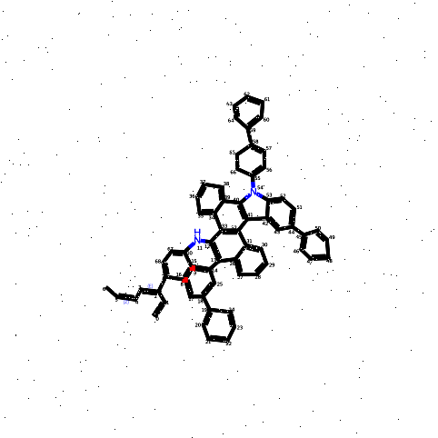 C=C/C(=C\C=C/C)c1ccc(Nc2c(-c3cccc(-c4ccccc4)c3)c3ccccc3c3c2c2ccccc2c2c3c3cc(-c4ccccc4)ccc3n2C2=CC=C(c3ccccc3)CC2)cc1